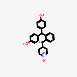 O=C(c1ccccc1C(c1ccc(O)cc1)c1ccc(O)cc1)C1CC[NH+]([O-])CC1